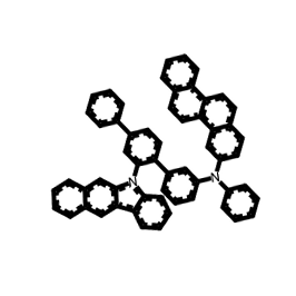 c1ccc(-c2ccc(-c3cccc(N(c4ccccc4)c4ccc5ccc6c7ccccc7ccc6c5c4)c3)c(-n3c4ccccc4c4cc5ccccc5cc43)c2)cc1